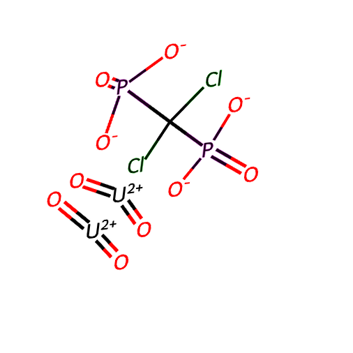 O=P([O-])([O-])C(Cl)(Cl)P(=O)([O-])[O-].[O]=[U+2]=[O].[O]=[U+2]=[O]